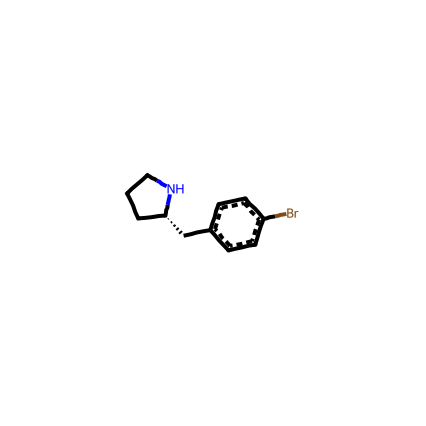 Brc1ccc(C[C@@H]2CCCN2)cc1